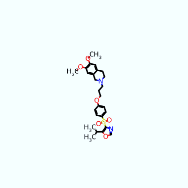 COc1cc2c(cc1OC)CN(CCCOc1ccc(S(=O)(=O)c3ncoc3C(C)C)cc1)CC2